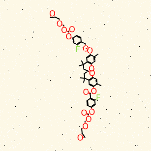 Cc1cc2c(cc1OOCc1ccc(OC(=O)OCOCC3CO3)cc1F)C(C)(C)CC1(CC(C)(C)c3cc(OC(=O)c4ccc(OC(=O)OCOCC5CO5)cc4F)c(C)cc3O1)O2